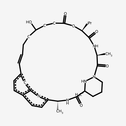 CC(C)[C@@H]1OC(=O)CCC(O)CC/C=C/c2ccc3ccc(nc3c2)[C@@H](C)NC(=O)[C@]2(C)CCCN(N2)C(=O)[C@H](C)NC1=O